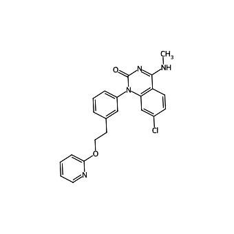 CNc1nc(=O)n(-c2cccc(CCOc3ccccn3)c2)c2cc(Cl)ccc12